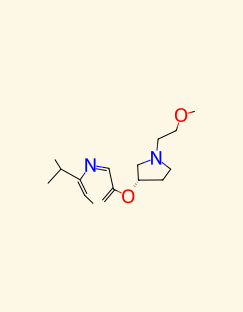 C=C(/C=N\C(=C/C)C(C)C)O[C@H]1CCN(CCOC)C1